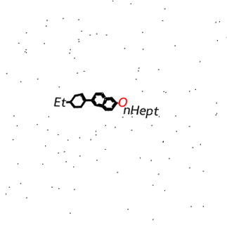 CCCCCCCOc1ccc2cc(C3=CCC(CC)CC3)ccc2c1